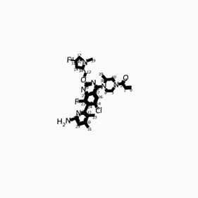 C=CC(=O)N1CCN(c2nc(OC[C@@H]3C[C@@H](F)CN3C)nc3c(F)c(-c4nc(N)cc(C)c4C)c(Cl)cc23)C(C)C1